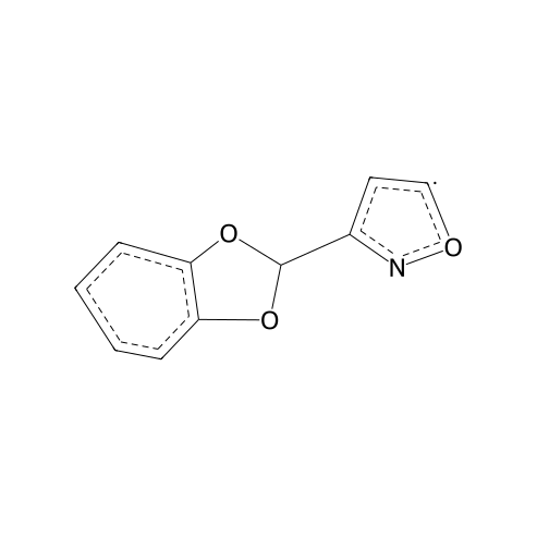 [c]1cc(C2Oc3ccccc3O2)no1